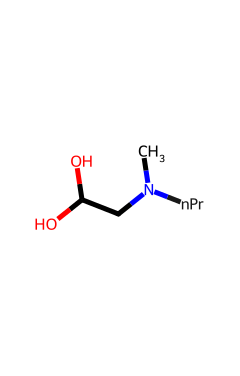 CCCN(C)CC(O)O